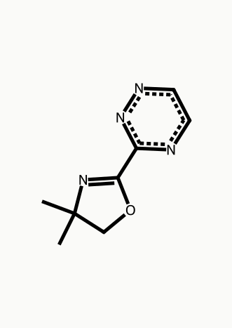 CC1(C)COC(c2nccnn2)=N1